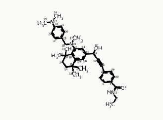 CCNC(=O)c1ccc(C#CC(O)c2cc(N(C)Cc3ccc(N(C)C)cc3)c3c(c2)C(C)(C)CCC3(C)C)cc1